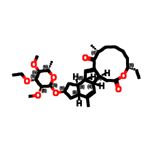 CCO[C@@H]1[C@@H](OC)[C@H](C)O[C@@H](O[C@H]2C[C@H]3[C@@H]4C=C5C(=O)[C@H](C)CCCC[C@H](CC)OC(=O)C[C@H]5[C@@H]4C=C(C)[C@@H]3C2)[C@@H]1OC